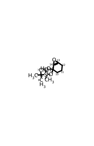 CC1(O[Si](C)(C)C(C)(C)C)CCCC2=C1O2